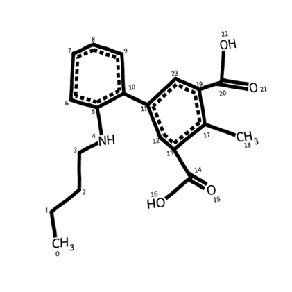 CCCCNc1ccccc1-c1cc(C(=O)O)c(C)c(C(=O)O)c1